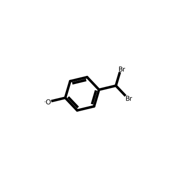 [O]c1ccc(C(Br)Br)cc1